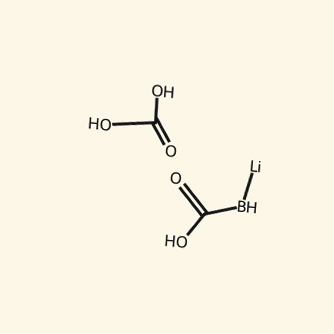 O=C(O)O.[Li][BH]C(=O)O